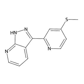 CSc1ccnc(-c2n[nH]c3ncccc23)c1